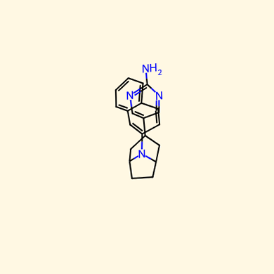 Nc1ncc(C2CC3CCC(C2)N3c2ccc3ccccc3c2)cn1